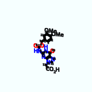 COc1ccc(COC(=O)Nc2nc3c(ncn3CC(=O)O)c(=O)[nH]2)cc1OC